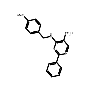 CCOC(=O)c1cnc(-c2ccccc2)nc1NCc1ccc(OC)cc1